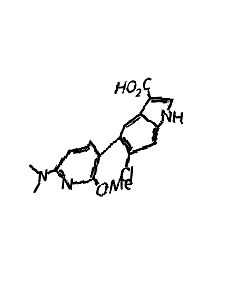 COc1nc(N(C)C)ccc1-c1cc2c(C(=O)O)c[nH]c2cc1Cl